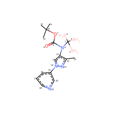 BC(B)(B)N(C(=O)OC(C)(C)C)c1cn(-c2cccnc2)nc1C